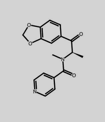 C[C@H](C(=O)c1ccc2c(c1)OCO2)N(C)C(=O)c1ccncc1